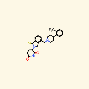 O=C1CCC(N2Cc3c(CN4CCC(c5ccccc5C(F)(F)F)CC4)cccc3C2=S)C(=O)N1